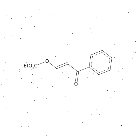 CCOC(=O)OC=CC(=O)c1ccccc1